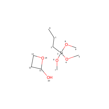 CCC[Si](OC)(OC)OC.OC1CCO1